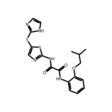 CC(C)COc1ccccc1NC(=O)C(=O)Nc1ncc(Sc2ncc[nH]2)s1